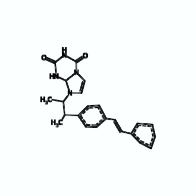 CC(c1ccc(/C=C/c2ccccc2)cc1)C(C)N1C=CN2C(=O)NC(=O)NC21